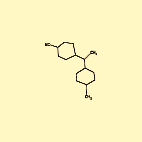 CC1CCC(C(C)C2CCC(C#N)CC2)CC1